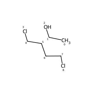 CCO.ClCCCCCl